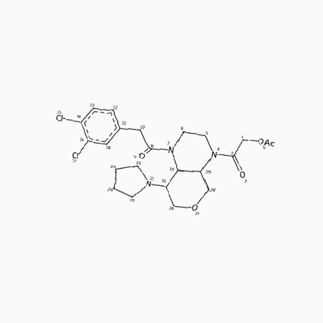 CC(=O)OCC(=O)N1CCN(C(=O)Cc2ccc(Cl)c(Cl)c2)C2C(N3CCCC3)COCC21